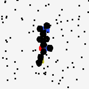 c1ccc(N2c3ccc(-c4ccc5c(c4)sc4ccccc45)cc3Oc3cc4c(cc32)c2ccccc2c2c(-c3ccc5c(c3)c3ccccc3n3c6ccccc6nc53)cccc42)cc1